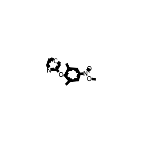 CO[N+](=O)c1cc(C)c(Oc2ccccn2)c(C)c1